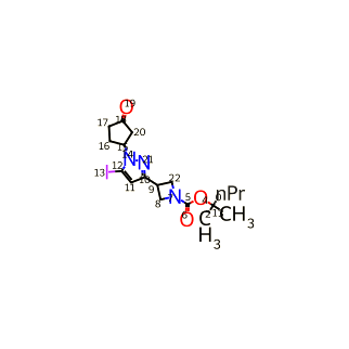 CCCC(C)(C)OC(=O)N1CC(c2cc(I)n(C3CCC(=O)C3)n2)C1